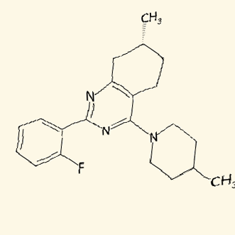 CC1CCN(c2nc(-c3ccccc3F)nc3c2CC[C@@H](C)C3)CC1